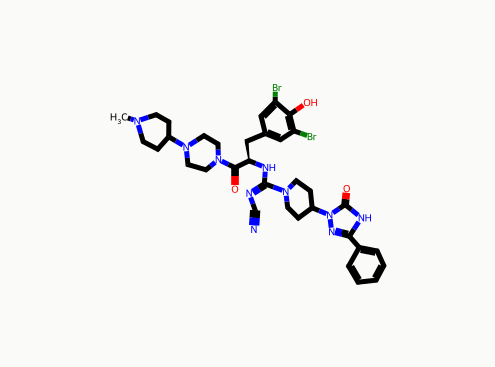 CN1CCC(N2CCN(C(=O)[C@@H](Cc3cc(Br)c(O)c(Br)c3)NC(=NC#N)N3CCC(n4nc(-c5ccccc5)[nH]c4=O)CC3)CC2)CC1